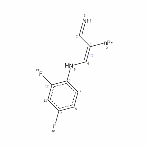 CCC/C(C=N)=C/Nc1ccc(F)cc1F